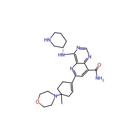 CC1(N2CCOCC2)CC=C(c2cc(C(N)=O)c3ncnc(N[C@H]4CCCNC4)c3n2)CC1